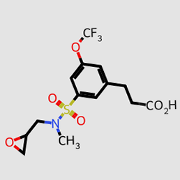 CN(CC1CO1)S(=O)(=O)c1cc(CCC(=O)O)cc(OC(F)(F)F)c1